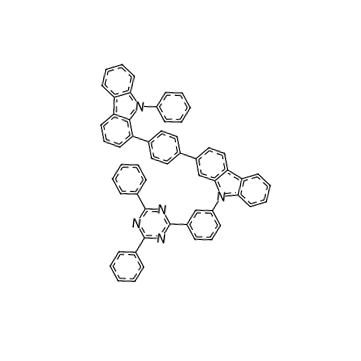 c1ccc(-c2nc(-c3ccccc3)nc(-c3cccc(-n4c5ccccc5c5ccc(-c6ccc(-c7cccc8c9ccccc9n(-c9ccccc9)c78)cc6)cc54)c3)n2)cc1